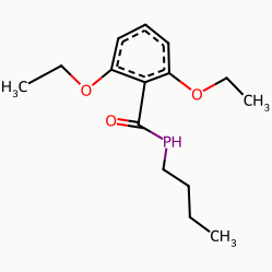 CCCCPC(=O)c1c(OCC)cccc1OCC